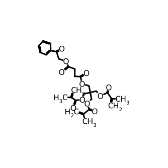 C=C(C)C(=O)OCC(COC(=O)CCC(=O)OCC(=O)c1ccccc1)(COC(=O)C(=C)C)COC(=O)C(=C)C